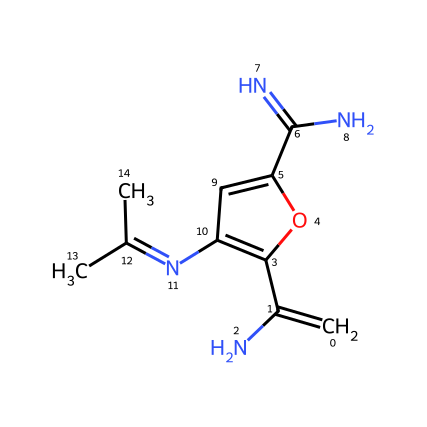 C=C(N)c1oc(C(=N)N)cc1N=C(C)C